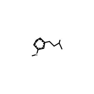 CSc1cccc(CCC(C)C)c1